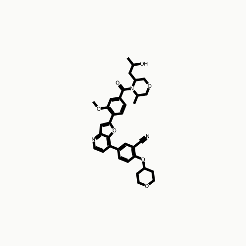 COc1cc(C(=O)N2C(C)COCC2CC(C)O)ccc1-c1cc2nccc(-c3ccc(OC4CCOCC4)c(C#N)c3)c2o1